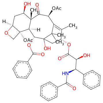 CC(=O)O[C@@H]1C(=O)[C@@]2(C)[C@H](O)C[C@@H]3OC[C@]3(OC(C)=O)[C@@H]2[C@@H](OC(=O)c2ccccc2)C2(O)C[C@@H](OC(=O)[C@@H](O)[C@H](NC(=O)c3ccccc3)c3ccccc3)C(C)=C1C2(C)C